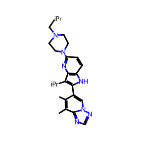 Cc1c(-c2[nH]c3ccc(N4CCN(CC(C)C)CC4)nc3c2C(C)C)cn2ncnc2c1C